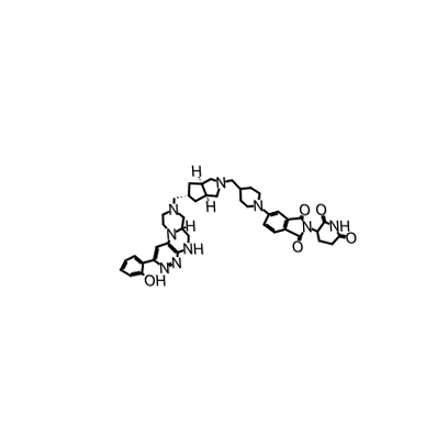 O=C1CCC(N2C(=O)c3ccc(N4CCC(CN5C[C@H]6C[C@H](CN7CCN8c9cc(-c%10ccccc%10O)nnc9NC[C@H]8C7)C[C@H]6C5)CC4)cc3C2=O)C(=O)N1